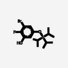 CC(C)[Si](Oc1cc(O)c(F)c(Br)c1)(C(C)C)C(C)C